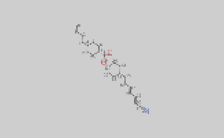 CCCC[C@H]1CC[C@H](C(=O)O[C@H]2CC[C@H](CCC=CC=CC#N)CC2)CC1